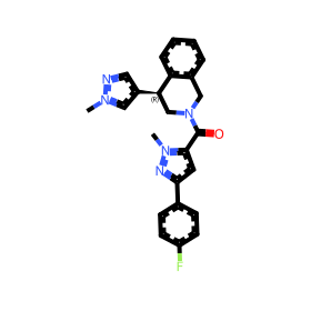 Cn1cc([C@@H]2CN(C(=O)c3cc(-c4ccc(F)cc4)nn3C)Cc3ccccc32)cn1